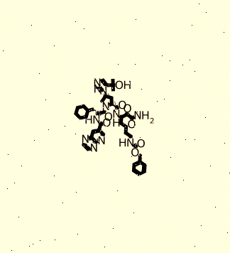 CC(C)(O)c1cnnn1[C@H]1C[C@@H](C(=O)NC(CCCCNC(=O)OCc2ccccc2)C(=O)C(N)=O)N(C(=O)[C@@H](CC2CCCCC2)NC(=O)c2cnc3nccnc3c2)C1